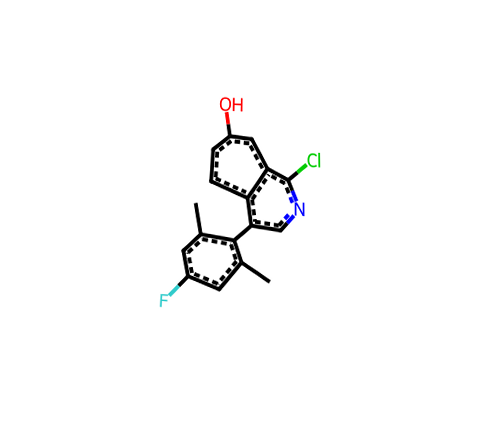 Cc1cc(F)cc(C)c1-c1cnc(Cl)c2cc(O)ccc12